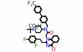 CC(C)(C(=O)O)N1CCC(N(Cc2ccc(-c3ccc(C(F)(F)F)cc3)cc2)C(=O)Cn2c(CCc3ccc(F)cc3F)nc(=O)c3ccccc32)CC1